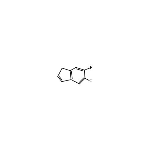 Fc1cc2c(cc1F)C=C[CH]2